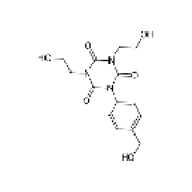 O=c1n(CCO)c(=O)n(-c2ccc(CO)cc2)c(=O)n1CCO